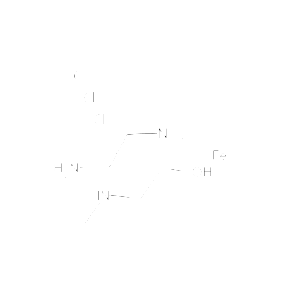 CNCCO.NCCN.[Cl-].[Cl-].[Cl-].[Fe+3]